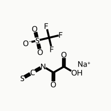 O=C(O)C(=O)N=C=S.O=S(=O)([O-])C(F)(F)F.[Na+]